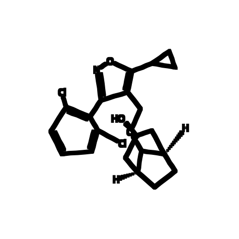 O[C@H]1C[C@H]2CC[C@@H](C1)C2OCc1c(-c2c(Cl)cccc2Cl)noc1C1CC1